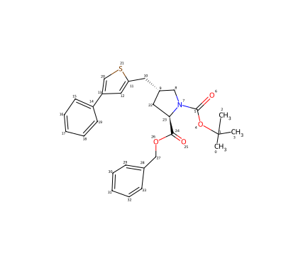 CC(C)(C)OC(=O)N1C[C@@H](Cc2cc(-c3ccccc3)cs2)C[C@@H]1C(=O)OCc1ccccc1